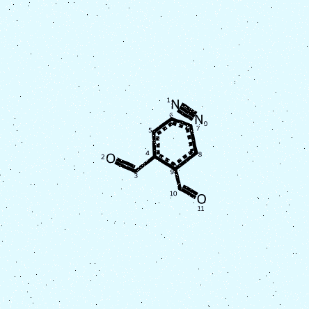 N#N.O=Cc1ccccc1C=O